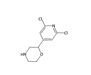 Clc1cc(C2CNCCO2)cc(Cl)n1